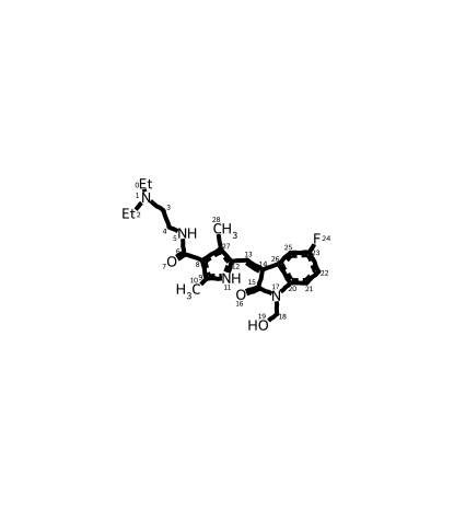 CCN(CC)CCNC(=O)c1c(C)[nH]c(C=C2C(=O)N(CO)c3ccc(F)cc32)c1C